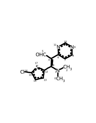 CN(C)C(=C(C=O)c1ccncn1)c1ccc(Cl)s1